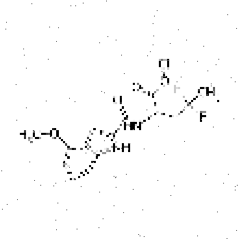 COC(=O)C(CC(C)(F)F)NC(=O)c1cc2c(OC)cccc2[nH]1